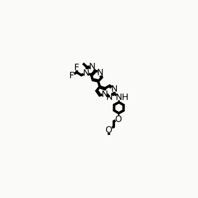 COCCO[C@H]1CC[C@@H](Nc2ncc3c(-c4cnc5nc(C)n(CC(F)F)c5c4)ccn3n2)CC1